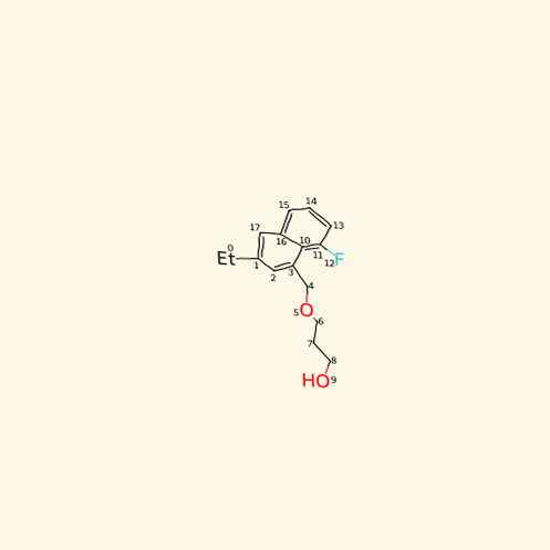 CCc1cc(COCCCO)c2c(F)cccc2c1